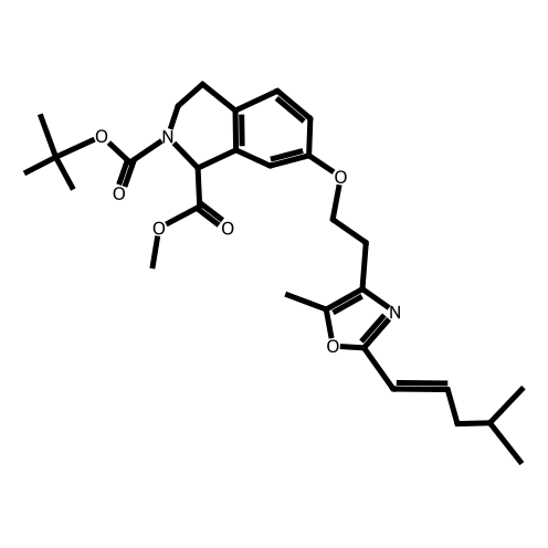 COC(=O)C1c2cc(OCCc3nc(/C=C/CC(C)C)oc3C)ccc2CCN1C(=O)OC(C)(C)C